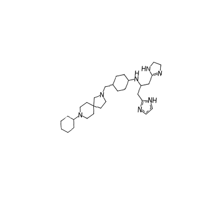 c1c[nH]c(CC(CC2=NCCN2)NC2CCC(CN3CCC4(CCN(C5CCCCC5)CC4)C3)CC2)n1